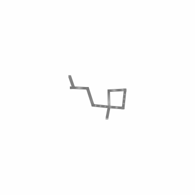 C[CH]CCC1(C)CCC1